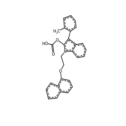 Cc1ccccc1-c1c(OC(=O)O)n(CCOc2cccc3ccccc23)c2ccccc12